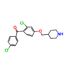 O=C(c1ccc(Cl)cc1)c1ccc(OCC2CCNCC2)cc1Cl